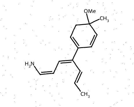 C/C=C/C(=C\C=C/N)C1=CCC(C)(OC)C=C1